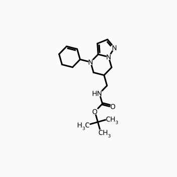 CC(C)(C)OC(=O)NCC1CN(C2C=CCCC2)c2ccnn2C1